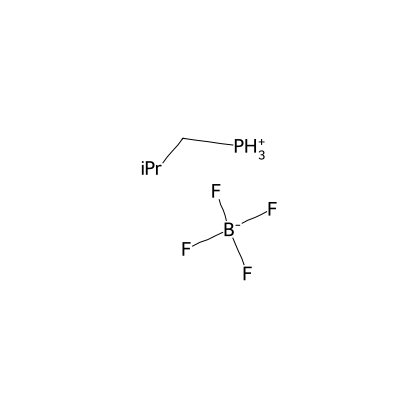 CC(C)C[PH3+].F[B-](F)(F)F